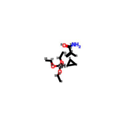 C1CC1.C=C(C)C(N)=O.CCO[SiH](OCC)OCC